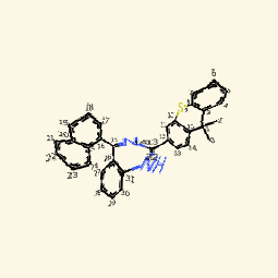 CC1(C)c2ccccc2Sc2cc(C3N=C(c4cccc5ccccc45)c4ccccc4N3)ccc21